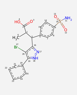 CC(C(=O)O)C(c1ccc(S(N)(=O)=O)cc1)c1n[nH]c(-c2ccccc2)c1Br